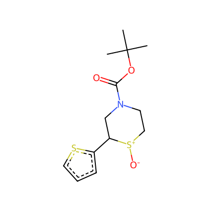 CC(C)(C)OC(=O)N1CC[S+]([O-])C(c2cccs2)C1